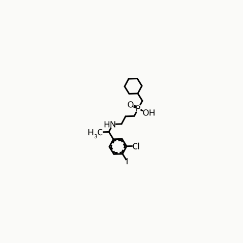 CC(NCCCP(=O)(O)CC1CCCCC1)c1ccc(I)c(Cl)c1